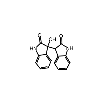 O=C1Nc2ccccc2C1C1(O)C(=O)Nc2ccccc21